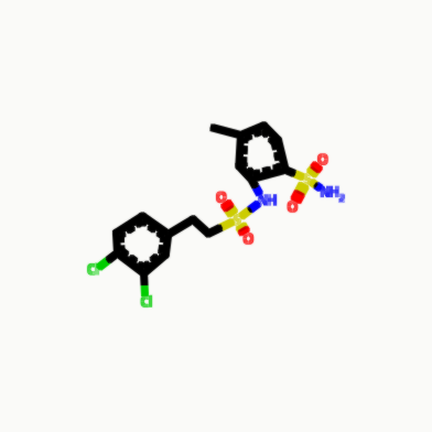 Cc1ccc(S(N)(=O)=O)c(NS(=O)(=O)CCc2ccc(Cl)c(Cl)c2)c1